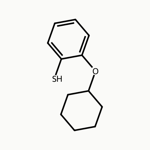 Sc1ccccc1OC1CCCCC1